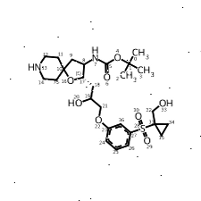 CC(C)(C)OC(=O)NC1CC2(CCNCC2)O[C@H]1CC(O)COc1cccc(S(=O)(=O)C2(CO)CC2)c1